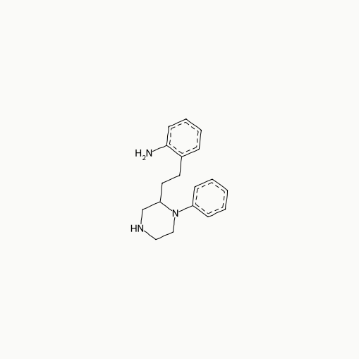 Nc1ccccc1CCC1CNCCN1c1ccccc1